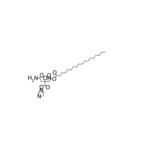 CCCCCCCCCCCCCCCCCC(=O)OC(=O)CC(O)(CC(N)=O)C(=O)ON1C=NCC1